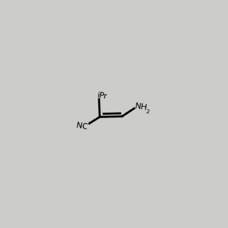 CC(C)/C(C#N)=C\N